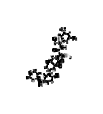 CCc1cc(F)cc([C@@H](CO)NC(=O)[C@@H](C)N2Cc3ccc(-c4nc(NC5CCOCC5)ncc4Cl)cc3S2(=O)=O)c1